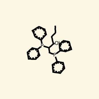 CCCC(O)C(CP(c1ccccc1)c1ccccc1)P(c1ccccc1)c1ccccc1